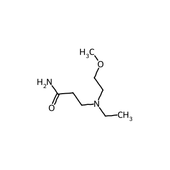 CCN(CCOC)CCC(N)=O